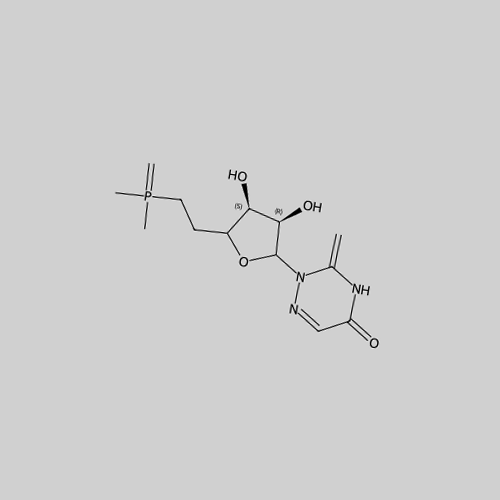 C=C1NC(=O)C=NN1C1OC(CCP(=C)(C)C)[C@@H](O)[C@H]1O